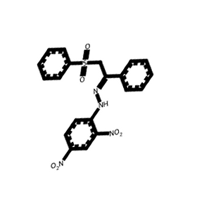 O=[N+]([O-])c1ccc(N/N=C(/CS(=O)(=O)c2ccccc2)c2ccccc2)c([N+](=O)[O-])c1